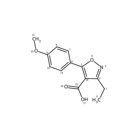 CCc1noc(-c2ccc(OC)cc2)c1C(=O)O